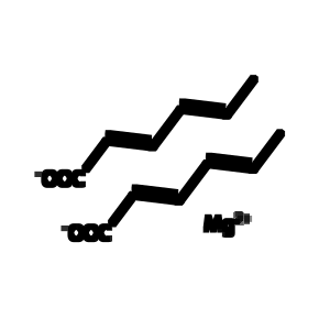 CC=CC=CC(=O)[O-].CC=CC=CC(=O)[O-].[Mg+2]